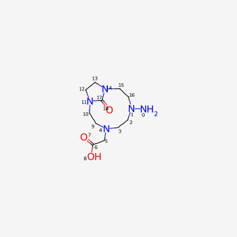 NN1CCN(CC(=O)O)CCN2CCN(CC1)C2=O